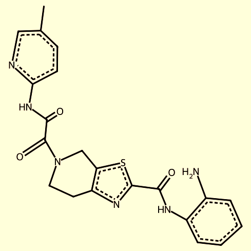 Cc1ccc(NC(=O)C(=O)N2CCc3nc(C(=O)Nc4ccccc4N)sc3C2)nc1